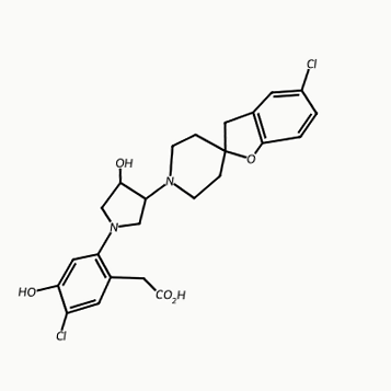 O=C(O)Cc1cc(Cl)c(O)cc1N1CC(O)C(N2CCC3(CC2)Cc2cc(Cl)ccc2O3)C1